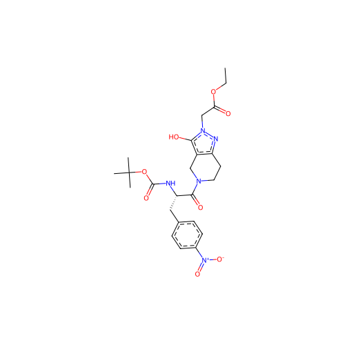 CCOC(=O)Cn1nc2c(c1O)CN(C(=O)[C@H](Cc1ccc([N+](=O)[O-])cc1)NC(=O)OC(C)(C)C)CC2